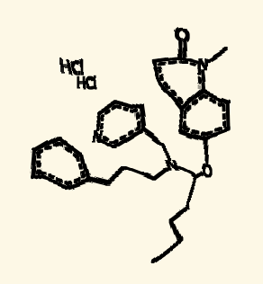 CCCCC(Oc1ccc2c(ccc(=O)n2C)c1)N(CCCc1ccccc1)Cc1cccnc1.Cl.Cl